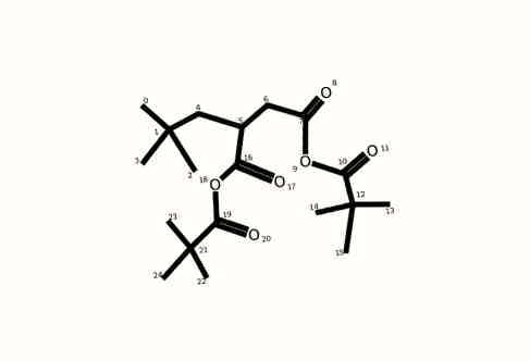 CC(C)(C)CC(CC(=O)OC(=O)C(C)(C)C)C(=O)OC(=O)C(C)(C)C